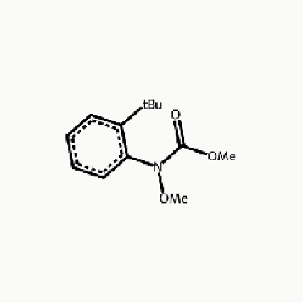 COC(=O)N(OC)c1ccccc1C(C)(C)C